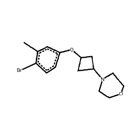 Cc1cc(OC2CC(N3CCOCC3)C2)ccc1Br